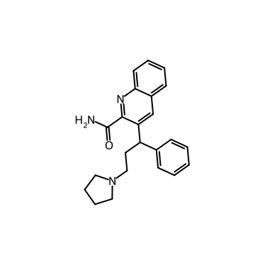 NC(=O)c1nc2ccccc2cc1C(CCN1CCCC1)c1ccccc1